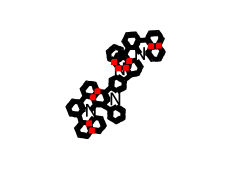 c1ccc(-c2cccc(-c3ccccc3)c2N(c2ccccc2)c2ccc3c4cc5c(cc4n4c6ccccc6c2c34)c2ccc(N(c3ccccc3)c3c(-c4ccccc4)cccc3-c3ccccc3)c3c4ccccc4n5c23)cc1